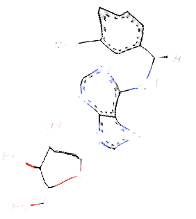 COc1cccc([C@@H](C)Nc2ncnc3c2ncn3[C@@H]2O[C@H](CO)C(O)[C@@H]2O)c1